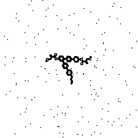 C=C(COC)C(=O)Oc1ccc(-c2ccc(C3CCC(OC(=O)C(=C)COC)CC3)cc2)c(-c2ccc(C3CCC(CCCC)CC3)cc2)c1